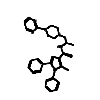 Cc1c(C(=O)NC(C)CN2CCN(c3ncccn3)CC2)cc(-c2ccccc2)n1-c1ccccc1